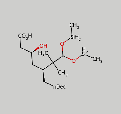 CCCCCCCCCCC[C@@H](C[C@H](O)CC(=O)O)C(C)(C)C(O[SiH2]C)O[SiH2]C